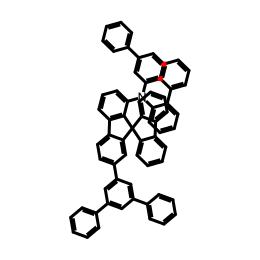 c1ccc(-c2cc(-c3ccccc3)cc(-c3ccc4c(c3)C3(c5ccccc5-c5ccccc53)c3c-4cccc3N(c3cccc(-c4ccccc4)c3)c3ccccc3-c3ccccc3)c2)cc1